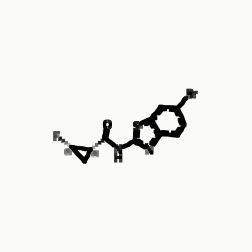 O=C(Nc1nc2ccc(Br)cc2s1)[C@@H]1C[C@@H]1F